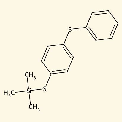 C[Si](C)(C)Sc1ccc(Sc2ccccc2)cc1